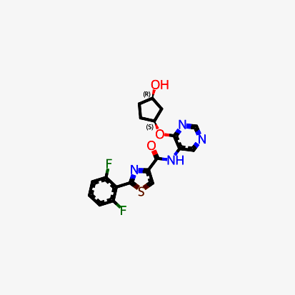 O=C(Nc1cncnc1O[C@H]1CC[C@@H](O)C1)c1csc(-c2c(F)cccc2F)n1